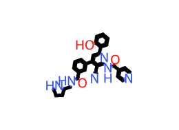 N#Cc1c(-c2cccc(C(=O)NCC3CCCN3)c2)cc(-c2ccccc2O)nc1NC(=O)c1ccncc1